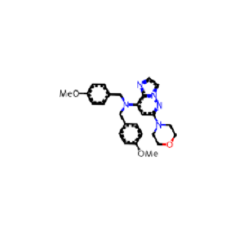 COc1ccc(CN(Cc2ccc(OC)cc2)c2cc(N3CCOCC3)nn3ccnc23)cc1